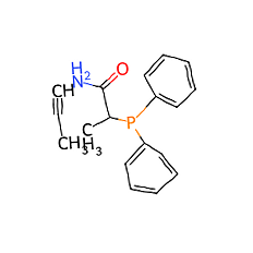 C#CC.CC(C(N)=O)P(c1ccccc1)c1ccccc1